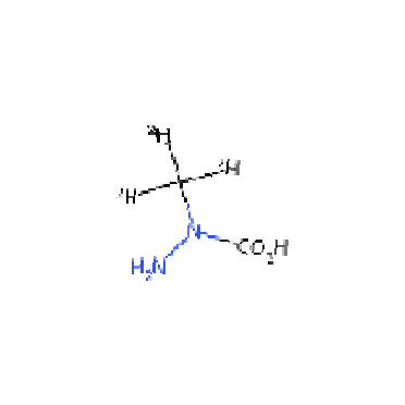 [2H]C([2H])([2H])N(N)C(=O)O